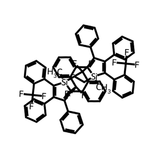 C[Si]1(CC[Si]2(C)C(c3ccccc3C(F)(F)F)=C(c3ccccc3)C(c3ccccc3)=C2c2ccccc2C(F)(F)F)C(c2ccccc2C(F)(F)F)=C(c2ccccc2)C(c2ccccc2)=C1c1ccccc1C(F)(F)F